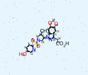 C[C@@H]1CN(S(=O)(=O)c2ccc(O)cn2)C[C@@H]1n1nc(CC(=O)O)c2cc3c(cc21)OCO3